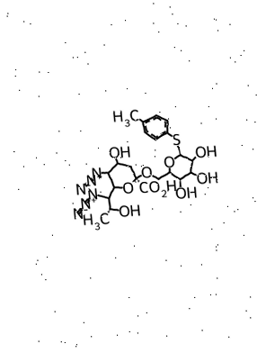 Cc1ccc(S[C@@H]2OC(CO[C@]3(C(=O)O)CC(O)C(N=[N+]=[N-])C(C(N=[N+]=[N-])[C@@H](C)O)O3)[C@H](O)C(O)C2O)cc1